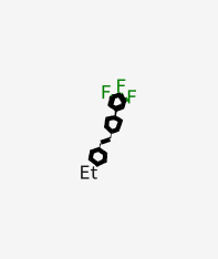 CC[C@H]1CC[C@H](CC[C@H]2CC[C@H](c3cc(F)c(F)c(F)c3)CC2)CC1